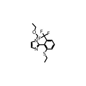 CCOCn1ccnc1-c1c(SCC)cccc1C(F)(F)F